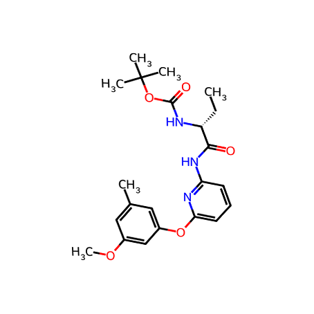 CC[C@@H](NC(=O)OC(C)(C)C)C(=O)Nc1cccc(Oc2cc(C)cc(OC)c2)n1